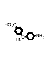 Cl.NC1CCC(Oc2ccc(C(=O)O)cc2)CC1